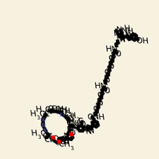 CO[C@H]1C[C@@H]2CC[C@@H](C)[C@@](O)(O2)C(=O)C(=O)N2CCCC[C@H]2C(=O)O[C@H]([C@H](N)C[C@@H]2CC[C@H](n3cc(-c4cccc(C(=O)NCCOCCOCCOCCC(=O)NCCOCCOCCOCCOCCC(=O)NCCCCn5nc(-c6cc7cc(O)ccc7[nH]6)c6c(N)ncnc65)c4)nn3)[C@H](OC)C2)CC(=O)[C@H](C)/C=C(\C)[C@@H](O)[C@@H](O)C(=O)[C@H](C)C[C@H](C)/C=C/C=C/C=C/1C